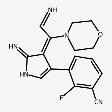 N#Cc1cccc(C2=CNC(=N)/C2=C(\C=N)N2CCOCC2)c1F